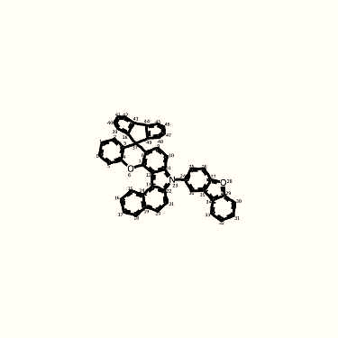 c1ccc2c(c1)Oc1c(ccc3c1c1c4ccccc4ccc1n3-c1ccc3oc4ccccc4c3c1)C21c2ccccc2-c2ccccc21